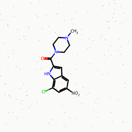 CN1CCN(C(=O)c2cc3cc([N+](=O)[O-])cc(Cl)c3[nH]2)CC1